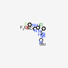 CC(C)(C)N1CCC(n2cc([C@@H](Nc3cc(Cl)cc4c(Nc5ccc(F)c(OC(F)(F)F)c5)c(C#N)cnc34)c3ccccc3)nn2)CC1